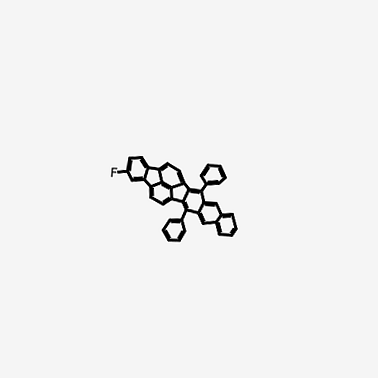 Fc1ccc2c(c1)-c1ccc3c4c(ccc-2c14)-c1c-3c(-c2ccccc2)c2cc3ccccc3cc2c1-c1ccccc1